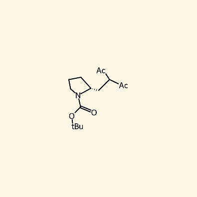 CC(=O)C(C[C@H]1CCCN1C(=O)OC(C)(C)C)C(C)=O